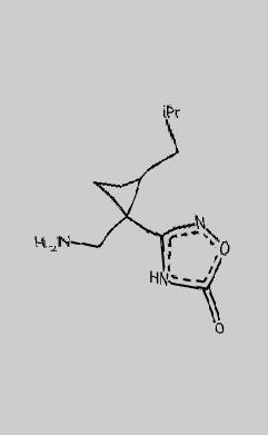 CC(C)CC1CC1(CN)c1noc(=O)[nH]1